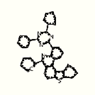 c1ccc(-c2nc(-c3ccccc3)nc(-c3cccc4c3nc(-c3ccccc3)c3ccc5sc6ccccc6c5c34)n2)cc1